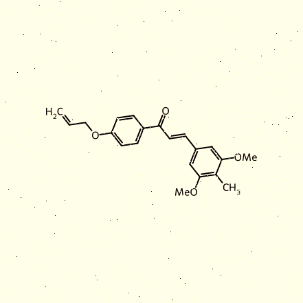 C=CCOc1ccc(C(=O)/C=C/c2cc(OC)c(C)c(OC)c2)cc1